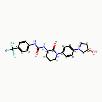 O=C(Nc1ccc(C(F)(F)F)cc1)N[C@@H]1CCCN(c2ccc(N3CC[C@@H](O)C3)cc2)C1=O